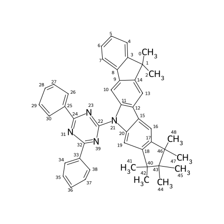 CC1(C)c2ccccc2-c2cc3c(cc21)c1cc2c(cc1n3-c1nc(-c3ccccc3)nc(-c3ccccc3)n1)C(C)(C)C(C)(C)C2(C)C